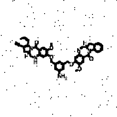 C#CC1=C(/C=C\C)N2C(=O)c3cc(OC)c(OCc4cc(N)cc(COc5cc6c(cc5OC)C(=O)N5c7ccccc7C[C@H]5C=N6)c4)cc3NC[C@@H]2C1